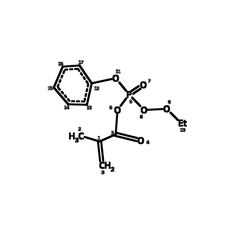 C=C(C)C(=O)OP(=O)(OOCC)Oc1ccccc1